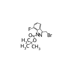 CC(C)(C)OC(=O)n1nc(CBr)c2cccc(F)c21